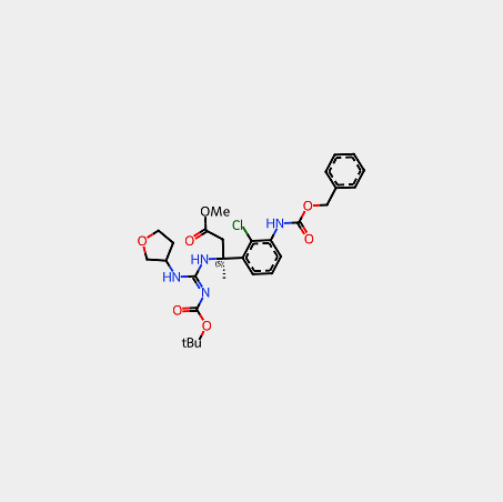 COC(=O)C[C@](C)(NC(=NC(=O)OC(C)(C)C)NC1CCOC1)c1cccc(NC(=O)OCc2ccccc2)c1Cl